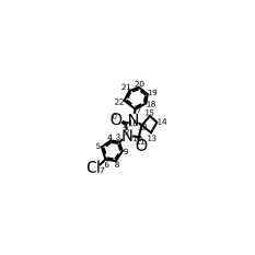 O=C1N(c2ccc(Cl)cc2)C(=O)C2(CCC2)N1c1ccccc1